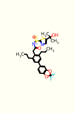 CCCc1cc(-c2ccc3c(c2)OC(F)(F)O3)cc(CCC)c1CC(=O)/N=[SH](=O)\c1ncc(C(C)(C)O)s1